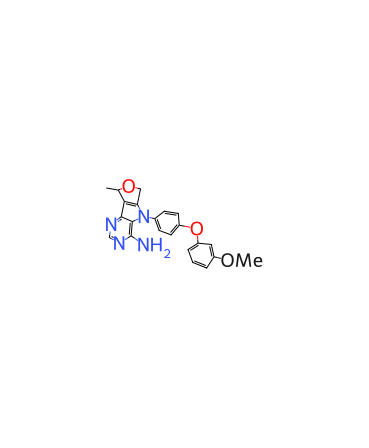 COc1cccc(Oc2ccc(-n3c4c(c5ncnc(N)c53)C(C)OC4)cc2)c1